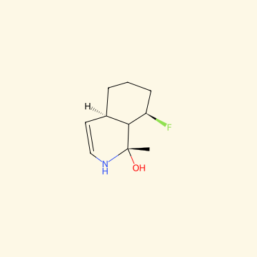 C[C@@]1(O)NC=C[C@H]2CCC[C@@H](F)C21